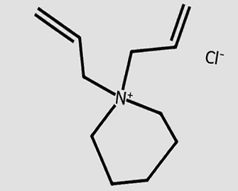 C=CC[N+]1(CC=C)CCCCC1.[Cl-]